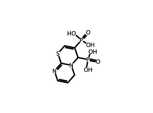 O=P(O)(O)C1=CSC2=NC=CCN2C1P(=O)(O)O